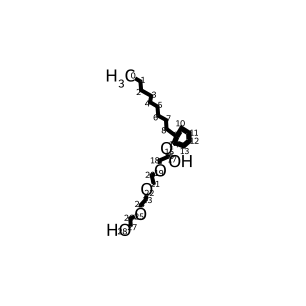 CCCCCCCCCc1ccccc1OC(O)COCCOCCOCCO